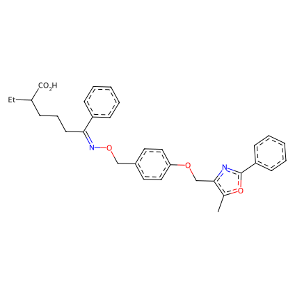 CCC(CCCC(=NOCc1ccc(OCc2nc(-c3ccccc3)oc2C)cc1)c1ccccc1)C(=O)O